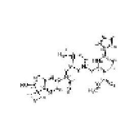 COC(=O)C1=C(CN2CCN(C)C(CN(C=O)c3ccc(C4(C(=O)O)CCC4)cc3)C2)NC(c2nccs2)=NC1